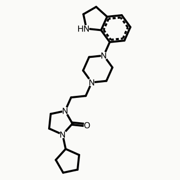 O=C1N(CCN2CCN(c3cccc4c3NCC4)CC2)CCN1C1CCCC1